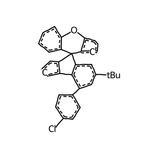 CC(C)(C)c1cc(-c2ccc(Cl)cc2)c2c(c1)C1(c3ccccc3Oc3ccccc31)c1ccccc1-2